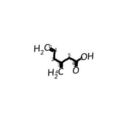 C=CCC(=C)CC(=O)O